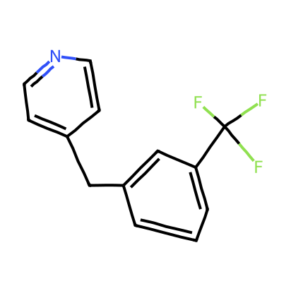 FC(F)(F)c1cccc(Cc2ccncc2)c1